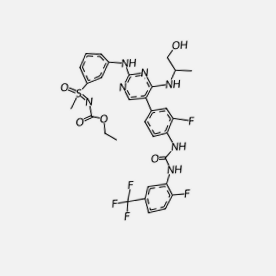 CCOC(=O)N=S(C)(=O)c1cccc(Nc2ncc(-c3ccc(NC(=O)Nc4cc(C(F)(F)F)ccc4F)c(F)c3)c(NC(C)CO)n2)c1